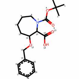 CC(C)(C)OC(=O)N1CCCCC(OCc2ccccc2)C1C(=O)O